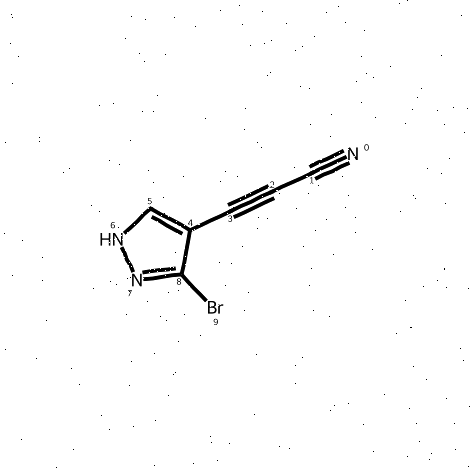 N#CC#Cc1c[nH]nc1Br